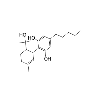 CCCCCc1cc(O)c(C2C=C(C)CCC2C(C)(C)O)c(O)c1